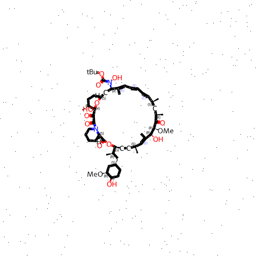 CO[C@@H]1C[C@H](C[C@@H](C)[C@@H]2CC[C@H](C)/C=C(\C)[C@@H](O)[C@@H](OC)C(=O)[C@H](C)C[C@H](C)/C=C/C=C/C=C(\C)[C@H](N(O)C(=O)OC(C)(C)C)C[C@@H]3CC[C@@H](C)[C@@](O)(O3)C(=O)C(=O)N3CCCC[C@H]3C(=O)O2)CC[C@H]1O